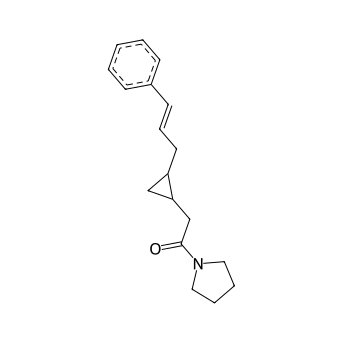 O=C(CC1CC1CC=Cc1ccccc1)N1CCCC1